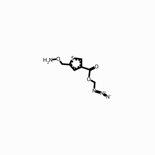 [N-]=[N+]=NCOC(=O)c1csc(CON)c1